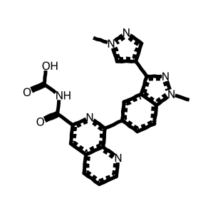 Cn1cc(-c2nn(C)c3ccc(-c4nc(C(=O)NC(=O)O)cc5cccnc45)cc23)cn1